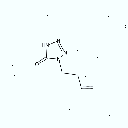 C=CCCn1nn[nH]c1=O